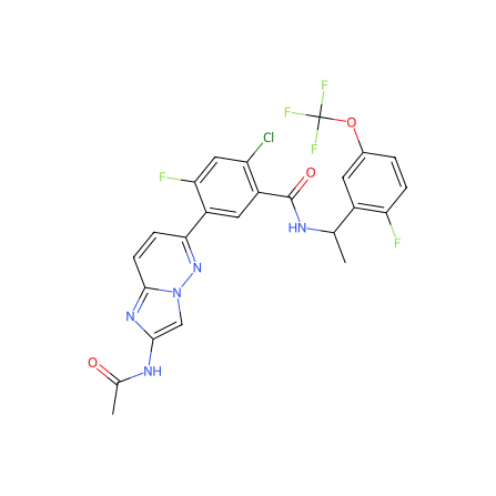 CC(=O)Nc1cn2nc(-c3cc(C(=O)NC(C)c4cc(OC(F)(F)F)ccc4F)c(Cl)cc3F)ccc2n1